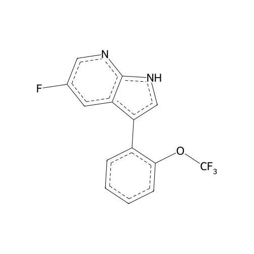 Fc1cnc2[nH]cc(-c3ccccc3OC(F)(F)F)c2c1